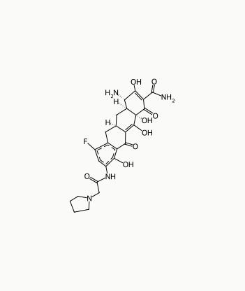 NC(=O)C1=C(O)[C@@H](N)[C@@H]2C[C@@H]3Cc4c(F)cc(NC(=O)CN5CCCC5)c(O)c4C(=O)C3=C(O)[C@]2(O)C1=O